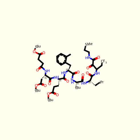 CSCCNC(=O)C(=O)C(CC(F)(F)F)NC(=O)[C@H](CC(C)C)NC(=O)[C@@H](NC(=O)[C@H](Cc1ccccc1C)NC(=O)[C@H](CCC(=O)OC(C)(C)C)NC(=O)[C@H](CC(=O)OC(C)(C)C)NC(=O)CCC(=O)OC(C)(C)C)C(C)(C)C